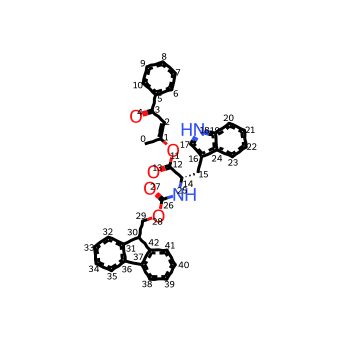 C/C(=C\C(=O)c1ccccc1)OC(=O)[C@H](Cc1c[nH]c2ccccc12)NC(=O)OCC1c2ccccc2-c2ccccc21